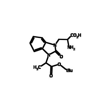 CC(C(=O)OC(C)(C)C)n1c(=O)n(CC(N)C(=O)O)c2ccccc21